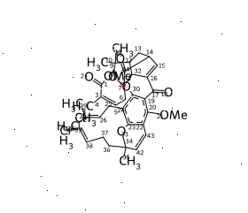 COC(=O)/C(C)=C\CC12OC(C)(C)C3CC(C=C4C(=O)c5c(OC)c6c(c(CC=C(C)C)c5OC431)OC(C)(CCC=C(C)C)C=C6)C2=O